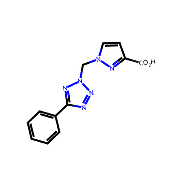 O=C(O)c1ccn(Cn2nnc(-c3ccccc3)n2)n1